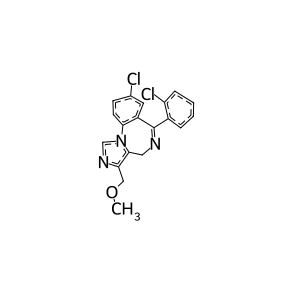 COCc1ncn2c1CN=C(c1ccccc1Cl)c1cc(Cl)ccc1-2